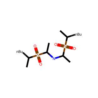 CCCCC(C)S(=O)(=O)C(C)[N]C(C)S(=O)(=O)C(C)CCCC